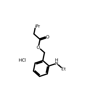 CCNc1ccccc1COC(=O)CC(C)C.Cl